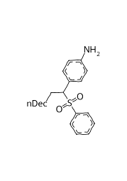 CCCCCCCCCCCC(c1ccc(N)cc1)S(=O)(=O)c1ccccc1